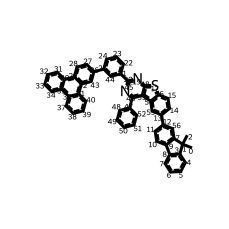 CC1(C)c2ccccc2-c2ccc(-c3ccc4sc5nc(-c6cccc(-c7ccc8c9ccccc9c9ccccc9c8c7)c6)nc(-c6ccccc6)c5c4c3)cc21